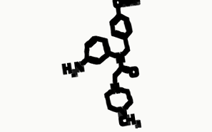 COc1ccc(CN(C(=O)CN2CCN(C)CC2)c2cccc(N)c2)cc1